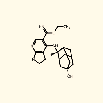 CCOC(=N)c1cnc2c(c1N[C@H]1C3CC4CC1C[C@@](O)(C4)C3)CCN2